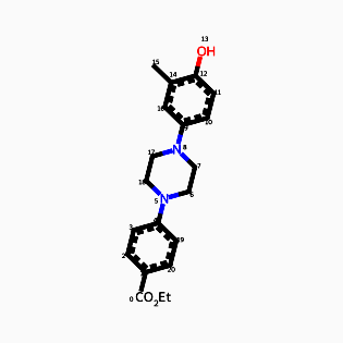 CCOC(=O)c1ccc(N2CCN(c3ccc(O)c(C)c3)CC2)cc1